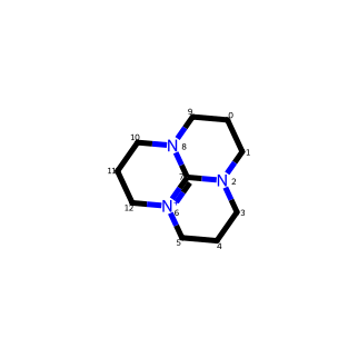 C1CN2CCC[N+]3=C2N(C1)CCC3